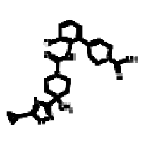 CC1(c2noc(C3CC3)n2)CCN(C(=O)Nc2c(Cl)cccc2C2=CCN(C(=O)O)CC2)CC1